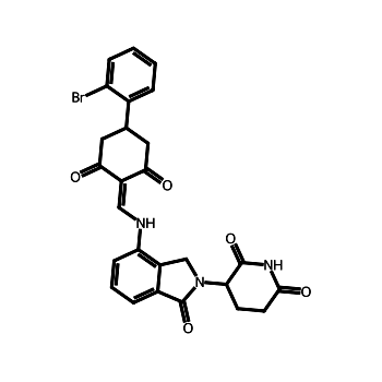 O=C1CCC(N2Cc3c(NC=C4C(=O)CC(c5ccccc5Br)CC4=O)cccc3C2=O)C(=O)N1